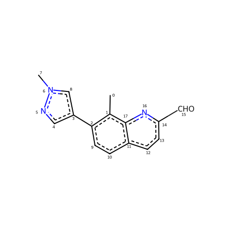 Cc1c(-c2cnn(C)c2)ccc2ccc(C=O)nc12